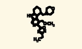 CCc1noc(-c2ncc3[nH]c4c(c3c2COC)C(CN2CCOCC2)CCC4)n1